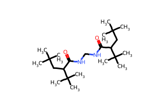 CC(C)(C)CC(C(=O)NCNC(=O)C(CC(C)(C)C)C(C)(C)C)C(C)(C)C